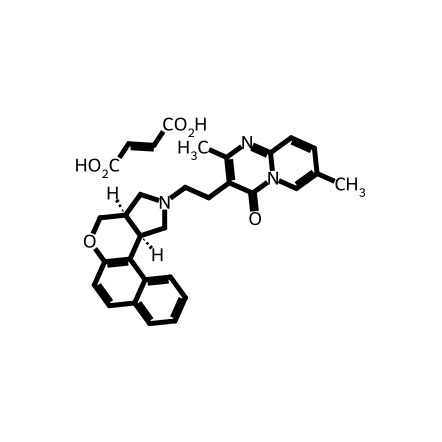 Cc1ccc2nc(C)c(CCN3C[C@@H]4COc5ccc6ccccc6c5[C@@H]4C3)c(=O)n2c1.O=C(O)/C=C/C(=O)O